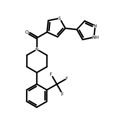 O=C(c1csc(-c2cn[nH]c2)c1)N1CCC(c2ccccc2C(F)(F)F)CC1